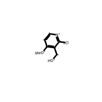 COc1ccnc(Cl)c1CO